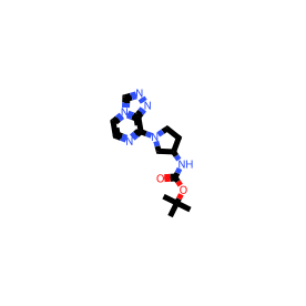 CC(C)(C)OC(=O)NC1CCN(c2nccn3cnnc23)C1